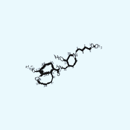 COCCCCN1CCC(CNC(=O)c2ccc(OC)c3c2CCCCO3)C(O)C1